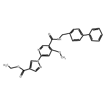 CCOC(=O)c1cnn(-c2cc(OC)c(C(=O)NCc3ccc(-c4ccccc4)cc3)cn2)c1